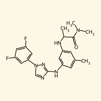 Cc1cc(Nc2ncn(-c3cc(F)cc(F)c3)n2)cc(NC(C)C(=O)N(C)C)c1